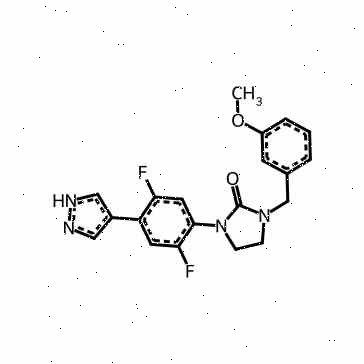 COc1cccc(CN2CCN(c3cc(F)c(-c4cn[nH]c4)cc3F)C2=O)c1